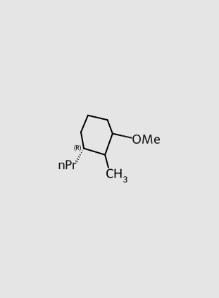 CCC[C@@H]1CCCC(OC)C1C